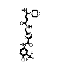 C/N=C(\C=C\C(=O)NCc1ncc(C(=O)Nc2ccc(Cl)c(C(F)(F)F)c2)s1)N1CCOCC1